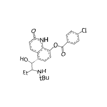 CCC(NC(C)(C)C)C(O)c1ccc(OC(=O)c2ccc(Cl)cc2)c2[nH]c(=O)ccc12